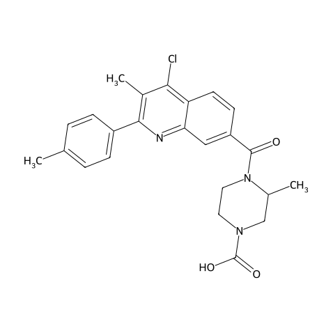 Cc1ccc(-c2nc3cc(C(=O)N4CCN(C(=O)O)CC4C)ccc3c(Cl)c2C)cc1